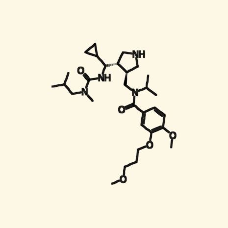 COCCCOc1cc(C(=O)N(C[C@@H]2CNC[C@H]2C(NC(=O)N(C)CC(C)C)C2CC2)C(C)C)ccc1OC